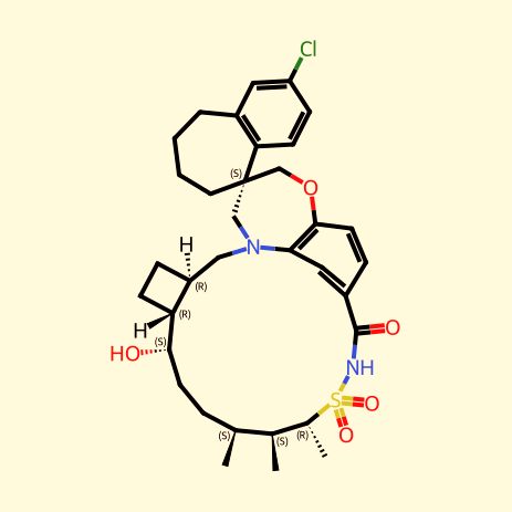 C[C@@H]1[C@@H](C)S(=O)(=O)NC(=O)c2ccc3c(c2)N(C[C@@H]2CC[C@H]2[C@@H](O)CC[C@@H]1C)C[C@@]1(CCCCc2cc(Cl)ccc21)CO3